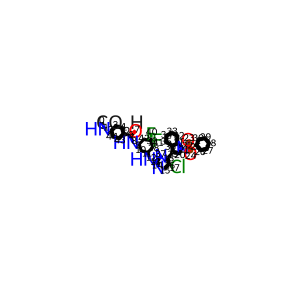 O=C(O)Nc1ccc(C(=O)NC2CC(Nc3ncc(Cl)c(-c4cn(S(=O)(=O)c5ccccc5)c5ccccc45)n3)CC(F)(F)C2)cc1